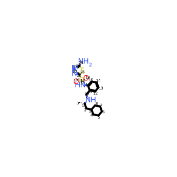 C[C@@H](CC1CCCCC1)NCc1ccccc1NS(=O)(=O)c1nnc(N)s1